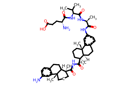 CC(C)[C@H](NC(=O)[C@H](N)CCC(=O)O)C(=O)N[C@@H](C)C(=O)Nc1ccc2c(c1)[C@@]1(C)CCC[C@](C)(C(=O)NC(=O)[C@@]3(C)CCC[C@]4(C)c5cc(N)ccc5CC[C@@H]34)[C@@H]1CC2